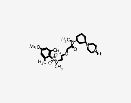 CCN1CCN(C2CCC[C@H](N(C)C(=O)COCCN(C)S(=O)(=O)c3c(C)cc(OC)cc3C)C2)CC1